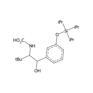 CC(C)[Si](Oc1cccc(C(O)C(NC(=O)O)C(C)(C)C)c1)(C(C)C)C(C)C